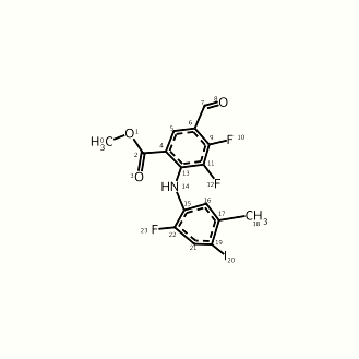 COC(=O)c1cc(C=O)c(F)c(F)c1Nc1cc(C)c(I)cc1F